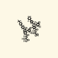 CC(C)(C)C1CC=C(c2ccc(N(Cc3ccc(C(=O)NCC(O)C(=O)O)cc3)C(=O)Nc3cc(Cl)cc(Cl)c3)cc2)CC1.C[C@H]1CCCC=C1c1ccc(N(Cc2ccc(C(=O)NC[C@@H](O)C(=O)O)cc2)C(=O)Nc2cc(Cl)cc(Cl)c2)cc1